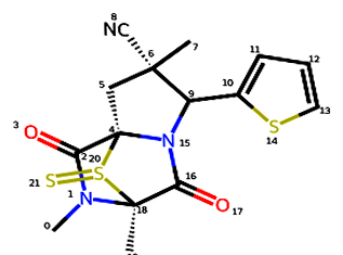 CN1C(=O)[C@@]23C[C@](C)(C#N)C(c4cccs4)N2C(=O)[C@]1(C)S3=S